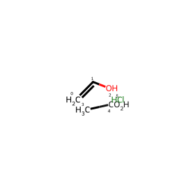 C=CO.CC(=O)O.Cl